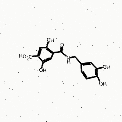 O=C(O)c1cc(O)c(C(=O)NCc2ccc(O)c(O)c2)cc1O